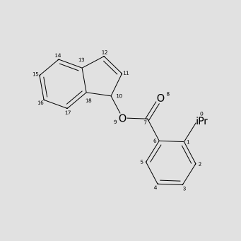 CC(C)c1ccccc1C(=O)OC1C=Cc2ccccc21